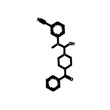 CN(c1cccc(C#N)c1)C(O)N1CCC(C(=O)c2ccccc2)CC1